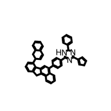 C1=CC(C2=NC(c3ccccc3)NC(c3ccc(-c4cc5c(c6ccccc46)Cc4cccc(C6C=Cc7ccccc7C6)c4-5)cc3)=N2)=CC1